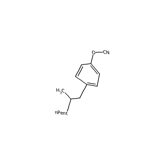 CCCCCC(C)Cc1ccc(OC#N)cc1